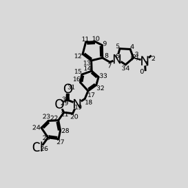 CN(C)[C@@H]1CCN(Cc2ccccc2-c2ccc(CN3CC(c4ccc(Cl)cc4)OC3=O)cc2)C1